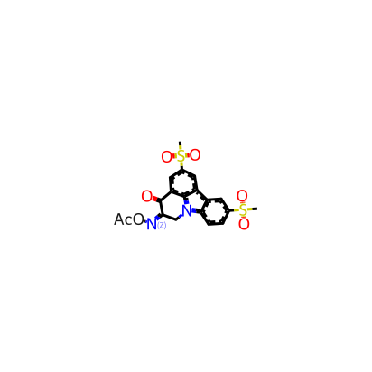 CC(=O)O/N=C1/Cn2c3ccc(S(C)(=O)=O)cc3c3cc(S(C)(=O)=O)cc(c32)C1=O